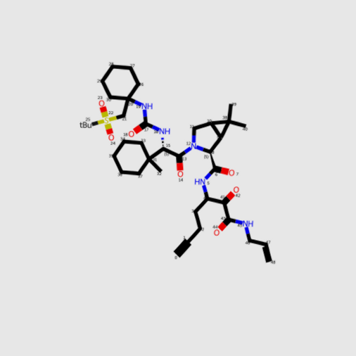 C#CCCC(NC(=O)[C@@H]1C2C(CN1C(=O)[C@@H](NC(=O)NC1(CS(=O)(=O)C(C)(C)C)CCCCC1)C1(C)CCCCC1)C2(C)C)C(=O)C(=O)NCC=C